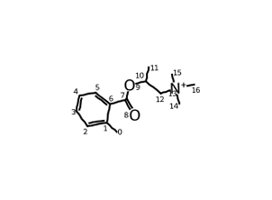 Cc1ccccc1C(=O)OC(C)C[N+](C)(C)C